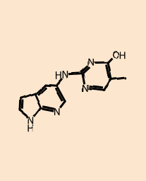 Cc1cnc(Nc2cnc3[nH]ccc3c2)nc1O